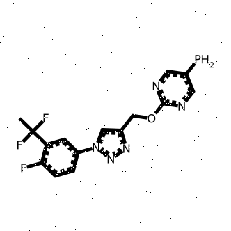 CC(F)(F)c1cc(-n2cc(COc3ncc(P)cn3)nn2)ccc1F